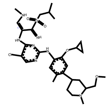 CN/C=C(/Nc1nc(Nc2cc(C)c(C3CCN(C)C(COC)C3)cc2OC2CC2)ncc1Cl)C(=N)S(=O)(=O)CC(C)C